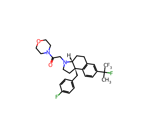 CC(F)(c1ccc2c(c1)CC[C@H]1N(CC(=O)N3CCOCC3)CC[C@@]21Cc1ccc(F)cc1)C(F)(F)F